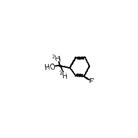 [2H]C([2H])(O)C1C=CCC(F)=C1